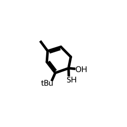 CC1=CCC(O)(S)C(C(C)(C)C)=C1